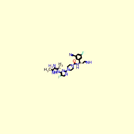 CC(=N)/C(N)=C(/C)Nc1nc(N2CCN(C(=O)N[C@@H](CC=N)c3cc(F)cc(C#N)c3)CC2)ncc1F